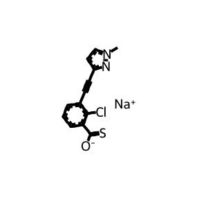 Cn1ccc(C#Cc2cccc(C([O-])=S)c2Cl)n1.[Na+]